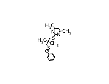 Cc1cc(C)nc(SCC(C)(C)CSOc2ccccc2)n1